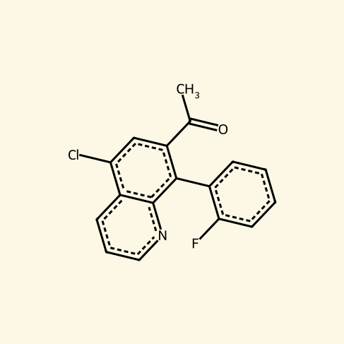 CC(=O)c1cc(Cl)c2cccnc2c1-c1ccccc1F